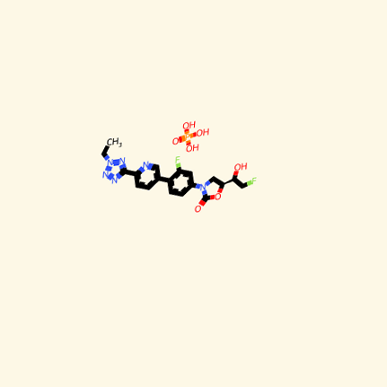 CCn1nnc(-c2ccc(-c3ccc(N4C[C@@H](C(O)CF)OC4=O)cc3F)cn2)n1.O=P(O)(O)O